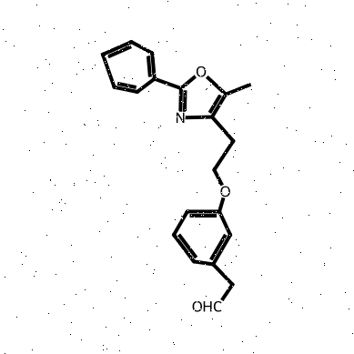 Cc1oc(-c2ccccc2)nc1CCOc1cccc(CC=O)c1